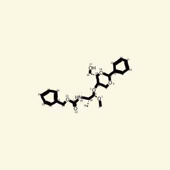 CO[C@@H](OC1COC(c2ccccc2)O[C@H]1CO)[C@H](C)NC(=O)OCc1ccccc1